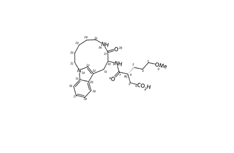 COCCC[C@H](CC(=O)O)C(=O)NC1Cc2cn(c3ccccc23)CCCCCNC1=O